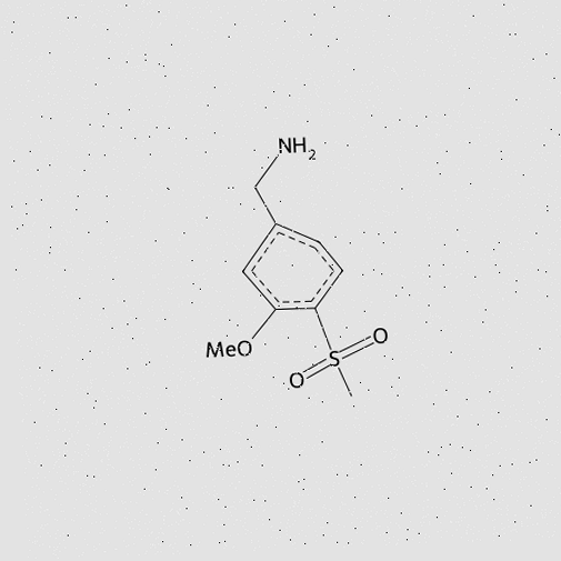 COc1cc(CN)ccc1S(C)(=O)=O